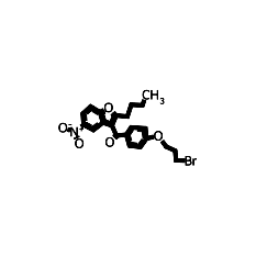 CCCCc1oc2ccc([N+](=O)[O-])cc2c1C(=O)c1ccc(OCCCBr)cc1